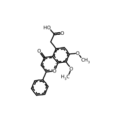 COc1cc(CC(=O)O)c2c(=O)cc(-c3ccccc3)oc2c1OC